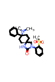 CN(C)[C@]1(c2ccccc2)CC[C@@]2(CC1)CN(c1ccccc1S(C)(=O)=O)C(=O)N2